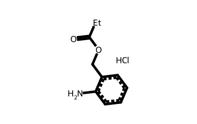 CCC(=O)OCc1ccccc1N.Cl